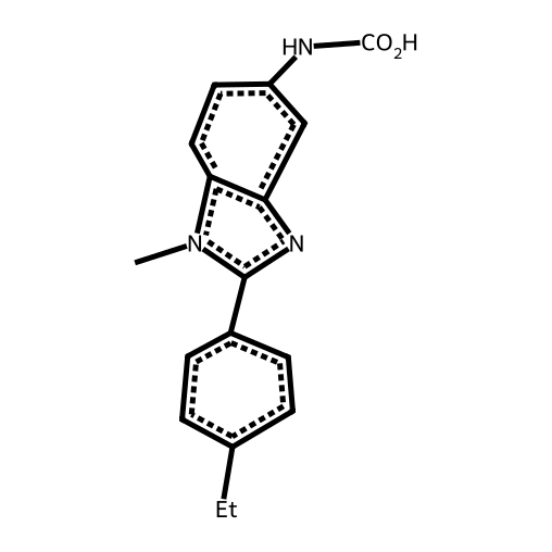 CCc1ccc(-c2nc3cc(NC(=O)O)ccc3n2C)cc1